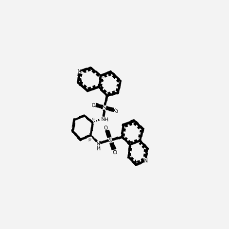 O=S(=O)(N[C@H]1CCCC[C@@H]1NS(=O)(=O)c1cccc2cnccc12)c1cccc2cnccc12